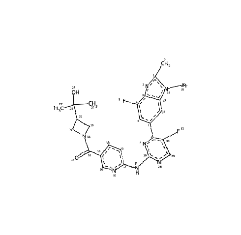 Cc1nc2c(F)cc(-c3nc(Nc4ccc(C(=O)N5CC(C(C)(C)O)C5)cn4)ncc3F)cc2n1C(C)C